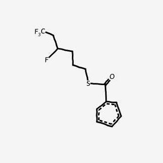 O=C(SCCCC(F)CC(F)(F)F)c1ccccc1